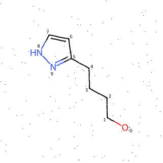 [O]CCCCc1cc[nH]n1